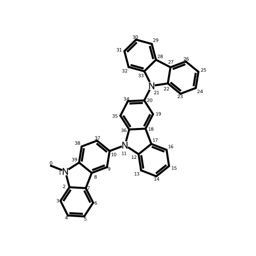 Cn1c2ccccc2c2cc(-n3c4ccccc4c4cc(-n5c6ccccc6c6ccccc65)ccc43)ccc21